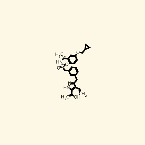 C=Cc1c(Cc2cccc(CS(=O)(=O)N[C@H](C)c3cccc(OCC4CC4)c3)c2)n[nH]c1C(=C)O